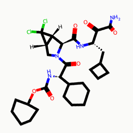 NC(=O)C(=O)[C@H](CC1CCC1)NC(=O)[C@@H]1[C@@H]2[C@H](CN1C(=O)[C@@H](NC(=O)OC1CCCCC1)C1CCCCC1)C2(Cl)Cl